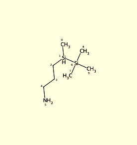 C[SiH](CCCN)[Si](C)(C)C